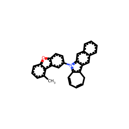 Cc1cccc2oc3ccc(-n4c5c(c6cc7ccccc7cc64)CC=CC=C5)cc3c12